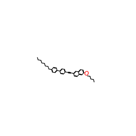 CCCCCCCCc1ccc(-c2ccc(C#Cc3ccc4cc(OCCCCC)ccc4c3)cc2)cc1